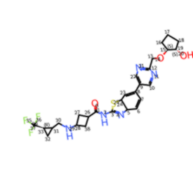 O=C(NC1=NC2C=CC(c3cnc(CO[C@H]4CCC[C@@H]4O)nc3)=CC2S1)C1CC(NCC2C[C@H]2C(F)(F)F)C1